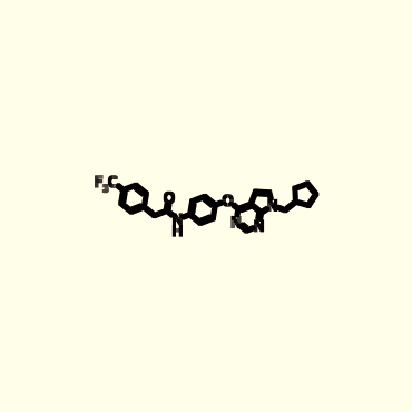 O=C(Cc1ccc(C(F)(F)F)cc1)Nc1ccc(Oc2ncnc3c2ccn3CC2CCCC2)cc1